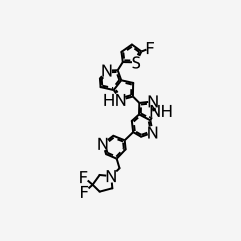 Fc1ccc(-c2nccc3[nH]c(-c4n[nH]c5ncc(-c6cncc(CN7CCC(F)(F)C7)c6)cc45)cc23)s1